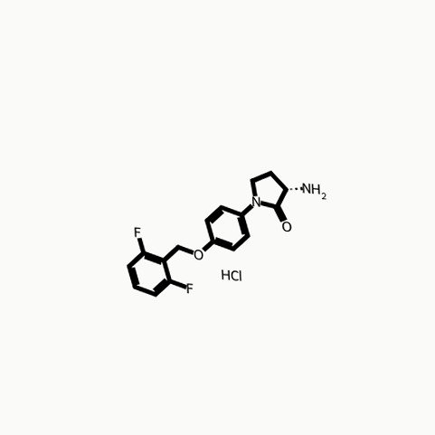 Cl.N[C@H]1CCN(c2ccc(OCc3c(F)cccc3F)cc2)C1=O